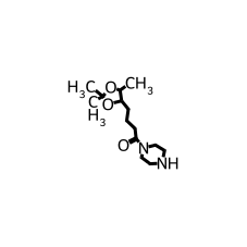 CC1OC(C)(C)OC1CCCC(=O)N1CCNCC1